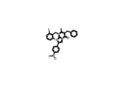 Cc1c(Cc2ccccc2)c(=O)n2cc(-c3ccc([N+](=O)[O-])cc3)nc2n1Cc1c(F)cccc1F